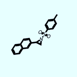 Cc1ccc(S(=O)(=O)N2CC2c2ccc3ccccc3c2)cc1